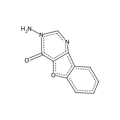 Nn1cnc2c(oc3ccccc32)c1=O